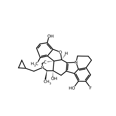 Cc1ccc(O)c2c1[C@]13CCN(CC4CC4)[C@H](C)[C@]1(O)Cc1c(n4c5c(cc(F)c(O)c15)CCC4)[C@@H]3O2